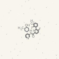 Cc1cccc(-c2nc(C(=O)Nc3cnccc3[C@H]3CC[C@H](O)[C@@H](C)C3)ccc2F)c1F